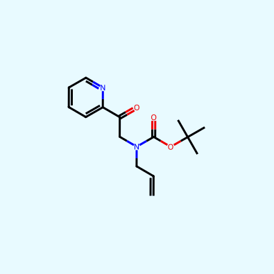 C=CCN(CC(=O)c1ccccn1)C(=O)OC(C)(C)C